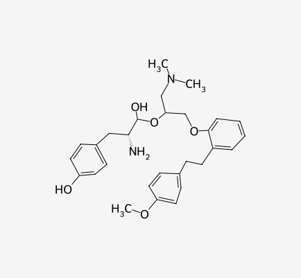 COc1ccc(CCc2ccccc2OCC(CN(C)C)OC(O)[C@H](N)Cc2ccc(O)cc2)cc1